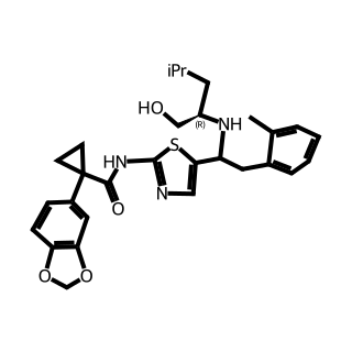 Cc1ccccc1CC(N[C@@H](CO)CC(C)C)c1cnc(NC(=O)C2(c3ccc4c(c3)OCO4)CC2)s1